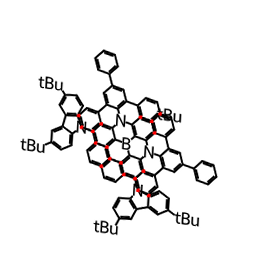 CC(C)(C)c1cc2c3c(c1)N(c1c(-c4ccccc4)cc(-c4ccccc4)cc1-c1ccccc1)c1cc(-n4c5ccc(C(C)(C)C)cc5c5cc(C(C)(C)C)ccc54)cc(-c4ccccc4)c1B3c1c(-c3ccccc3)cc(-n3c4ccc(C(C)(C)C)cc4c4cc(C(C)(C)C)ccc43)cc1N2c1c(-c2ccccc2)cc(-c2ccccc2)cc1-c1ccccc1